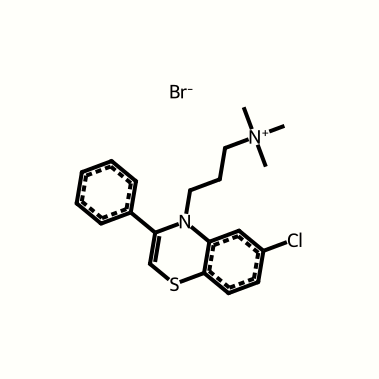 C[N+](C)(C)CCCN1C(c2ccccc2)=CSc2ccc(Cl)cc21.[Br-]